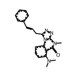 CN(C)c1cccc2c1c(=O)n(C)c1nnc(CC=Cc3ccccc3)n21